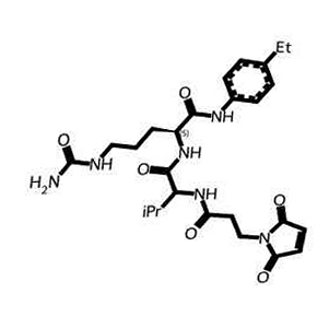 CCc1ccc(NC(=O)[C@H](CCCNC(N)=O)NC(=O)C(NC(=O)CCN2C(=O)C=CC2=O)C(C)C)cc1